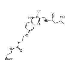 CCCCCCCCCCCCNC(=O)CCCOc1ccc(NN(CC)C(=O)CNC(=O)CC(C)O)cc1